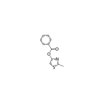 Cc1nc(OC(=O)c2ccccc2)cs1